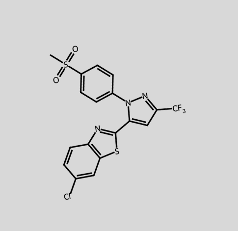 CS(=O)(=O)c1ccc(-n2nc(C(F)(F)F)cc2-c2nc3ccc(Cl)cc3s2)cc1